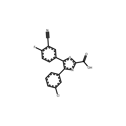 N#Cc1cc(-c2sc(C(=O)O)nc2-c2cccc(Cl)c2)ccc1F